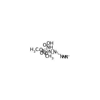 CCOP(=O)(CC(NC(=O)O)C(=O)N1CCN(CCCN=[N+]=[N-])CC1)OCC